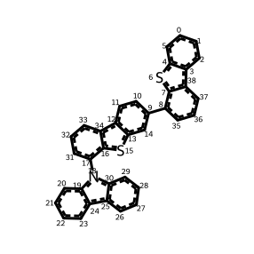 c1ccc2c(c1)sc1c(-c3ccc4c(c3)sc3c(-n5c6ccccc6c6ccccc65)cccc34)cccc12